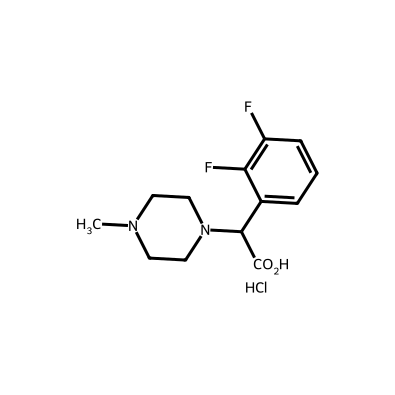 CN1CCN(C(C(=O)O)c2cccc(F)c2F)CC1.Cl